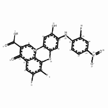 O=C(O)c1cn2c3c(c(F)c(F)cc3c1=O)Oc1cc(Nc3ccc([N+](=O)[O-])cc3F)c(O)cc1-2